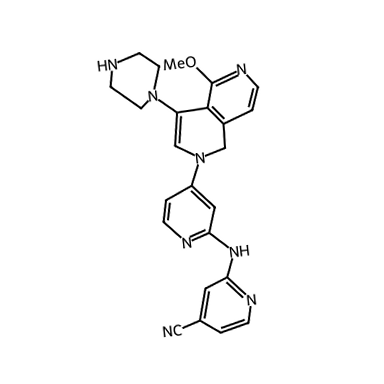 COc1nccc2c1C(N1CCNCC1)=CN(c1ccnc(Nc3cc(C#N)ccn3)c1)C2